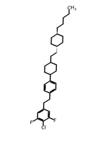 CCCCC[C@H]1CC[C@H](CCC2CCC(c3ccc(CCc4cc(F)c(Cl)c(F)c4)cc3)CC2)CC1